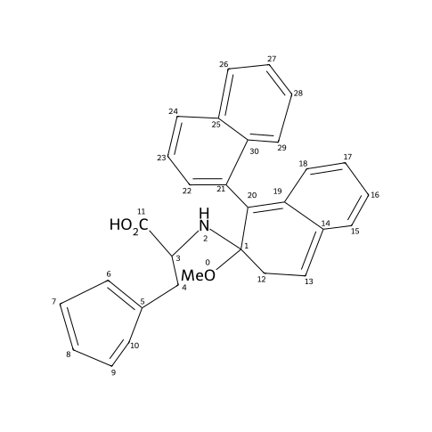 COC1(NC(Cc2ccccc2)C(=O)O)CC=c2ccccc2=C1c1cccc2ccccc12